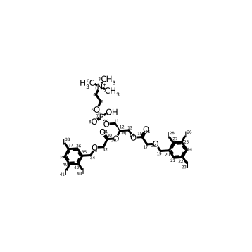 C[N+](C)(C)CCOP(=O)(O)OC[C@@H](COC(=O)COCc1cc(I)cc(I)c1I)OC(=O)COCc1cc(I)cc(I)c1I